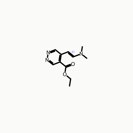 CCOC(=O)c1cnncc1/C=C/N(C)C